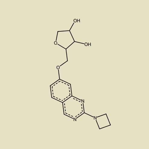 OC1COC(COc2ccc3cnc(N4CCC4)nc3c2)C1O